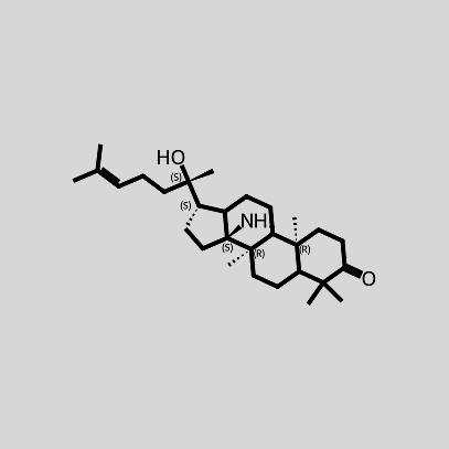 CC(C)=CCC[C@](C)(O)[C@H]1CC[C@]2(N)C1CCC1[C@@]3(C)CCC(=O)C(C)(C)C3CC[C@]12C